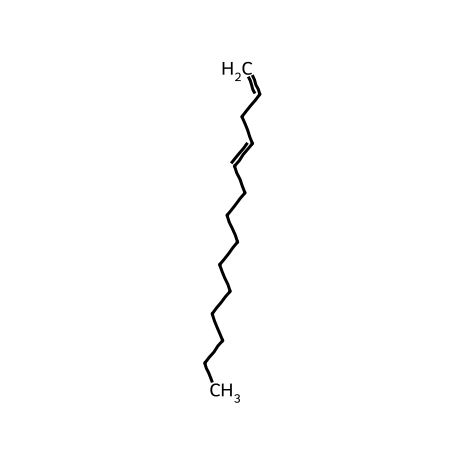 C=CCC=CCCCCCCCCC